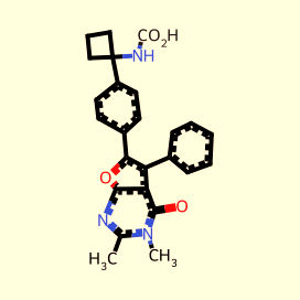 Cc1nc2oc(-c3ccc(C4(NC(=O)O)CCC4)cc3)c(-c3ccccc3)c2c(=O)n1C